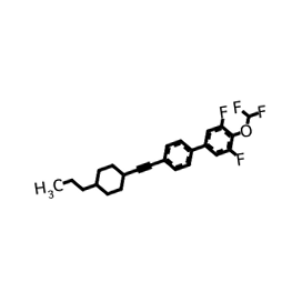 CCCC1CCC(C#Cc2ccc(-c3cc(F)c(OC(F)F)c(F)c3)cc2)CC1